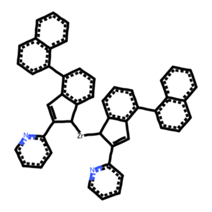 C1=C(c2ccccn2)[CH]([Zr][CH]2C(c3ccccn3)=Cc3c(-c4cccc5ccccc45)cccc32)c2cccc(-c3cccc4ccccc34)c21